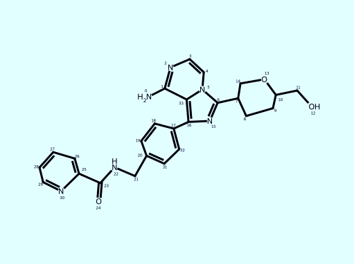 Nc1nccn2c(C3CCC(CO)OC3)nc(-c3ccc(CNC(=O)c4ccccn4)cc3)c12